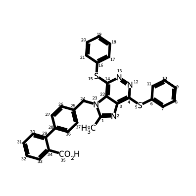 Cc1nc2c(Sc3ccccc3)nnc(Sc3ccccc3)c2n1Cc1ccc(-c2ccccc2C(=O)O)cc1